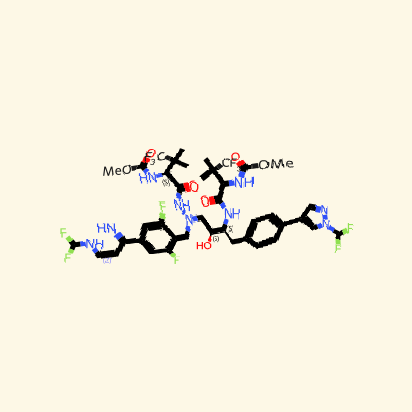 COC(=O)NC(C(=O)N[C@@H](Cc1ccc(-c2cnn(C(F)F)c2)cc1)[C@@H](O)CN(Cc1c(F)cc(C(=N)/C=C\NC(F)F)cc1F)NC(=O)[C@@H](NC(=O)OC)C(C)(C)C(F)(F)F)C(C)(C)C(F)(F)F